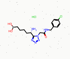 Cl.N[C@@H](CCCCB(O)O)c1nnnn1CC(=O)NCc1ccc(Cl)cc1